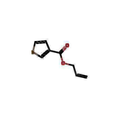 C=CCOC(=O)c1ccsc1